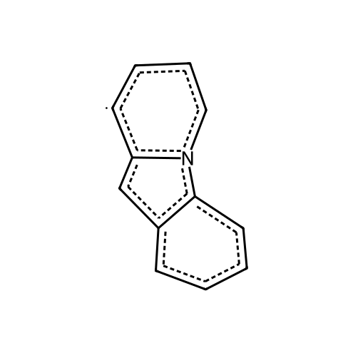 [c]1cccn2c1cc1ccccc12